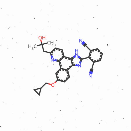 CC(C)(O)Cc1ccc2c(n1)c1cc(OCC3CC3)ccc1c1nc(-c3c(C#N)cccc3C#N)[nH]c21